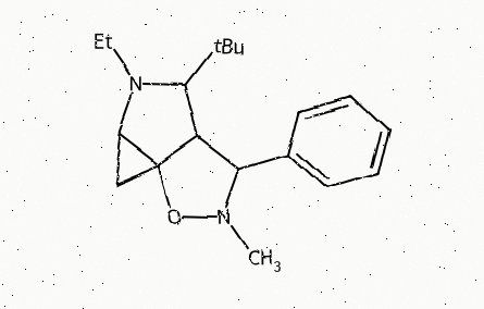 CCN1C(C(C)(C)C)C2C(c3ccccc3)N(C)OC23CC13